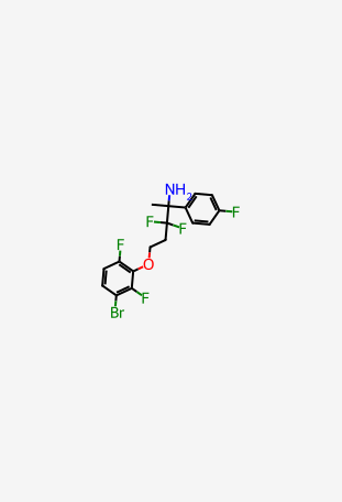 CC(N)(c1ccc(F)cc1)C(F)(F)CCOc1c(F)ccc(Br)c1F